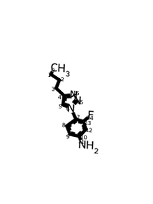 CCCCc1cn(-c2ccc(N)cc2F)nn1